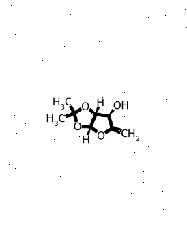 C=C1O[C@@H]2OC(C)(C)O[C@@H]2[C@H]1O